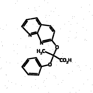 CC(Oc1ccccc1)(Oc1ccc2cccnc2n1)C(=O)O